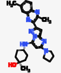 Cc1ccc2nc(C)c(-c3cc4nc(N5CCCC5)cc(N[C@H]5CC[C@](C)(O)CC5)n4n3)nc2c1